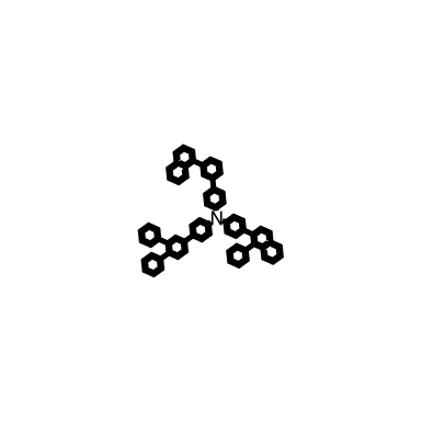 c1ccc(-c2ccc(-c3ccc(N(c4ccc(-c5cccc(-c6cccc7ccccc67)c5)cc4)c4ccc(-c5ccc6ccccc6c5-c5ccccc5)cc4)cc3)cc2-c2ccccc2)cc1